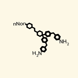 CCCCCCCCCC1CCC(CCC2CCC(c3ccc(Cc4ccc(N)cc4)cc3)(c3ccc(Cc4ccc(N)cc4)cc3)CC2)CC1